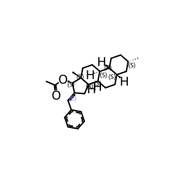 CC(=O)O[C@@H]1/C(=C/c2ccccc2)C[C@@H]2[C@H]3CC[C@H]4C[C@@H](C)CC[C@H]4[C@@H]3CC[C@@]12C